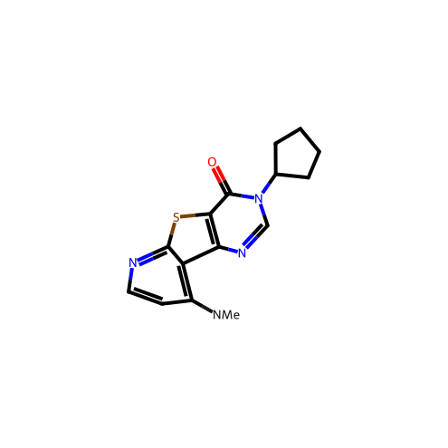 CNc1ccnc2sc3c(=O)n(C4CCCC4)cnc3c12